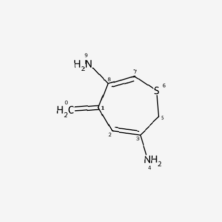 C=C1C=C(N)CSC=C1N